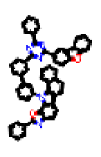 c1ccc(-c2nc(-c3cccc(-c4cccc(-n5c6c7ccccc7ccc6c6ccc7nc(-c8ccccc8)oc7c65)c4)c3)nc(-c3ccc4oc5ccccc5c4c3)n2)cc1